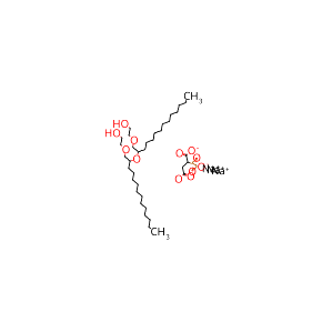 CCCCCCCCCCCCC(COCCO)OC(CCCCCCCCCCCC)COCCO.O=C([O-])CC(C(=O)[O-])S(=O)(=O)[O-].[Na+].[Na+].[Na+]